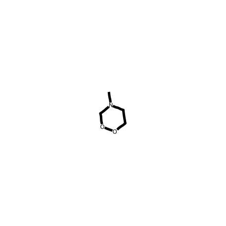 CN1CCOOC1